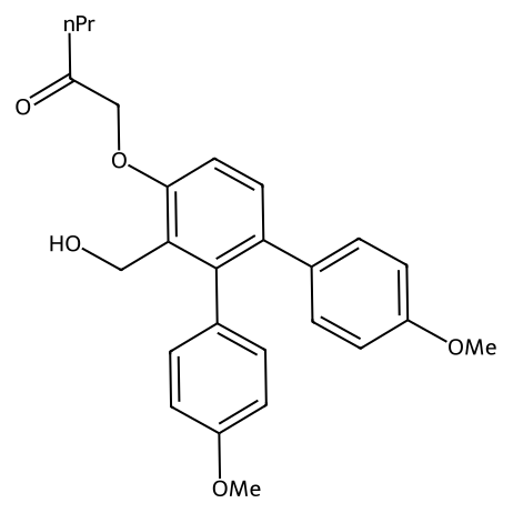 [CH2]CCC(=O)COc1ccc(-c2ccc(OC)cc2)c(-c2ccc(OC)cc2)c1CO